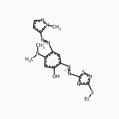 CCSc1nsc(/N=N/c2cc(/N=N/c3ccnn3C)c(N(C)C)cc2O)n1